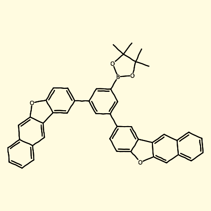 CC1(C)OB(c2cc(-c3ccc4oc5cc6ccccc6cc5c4c3)cc(-c3ccc4oc5cc6ccccc6cc5c4c3)c2)OC1(C)C